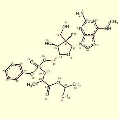 CNc1nc(N)nc2c1ncn2[C@@H]1O[C@H](COP(=O)(NC(C)C(=O)OC(C)C)Oc2ccccc2)[C@@H](O)[C@]1(F)CO